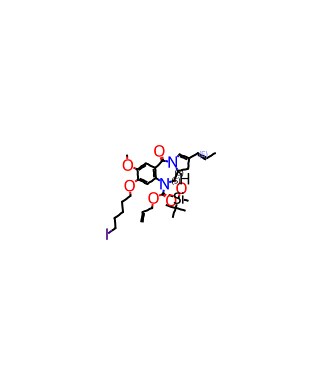 C=CCOC(=O)N1c2cc(OCCCCCI)c(OC)cc2C(=O)N2C=C(/C=C/C)C[C@H]2[C@@H]1O[Si](C)(C)C(C)(C)C